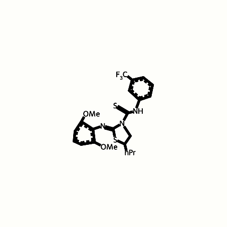 CCCC1CN(C(=S)Nc2cccc(C(F)(F)F)c2)C(=Nc2c(OC)cccc2OC)S1